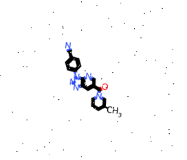 C[C@H]1CCCN(C(=O)c2cnc3c(c2)nnn3-c2ccc(C#N)cc2)C1